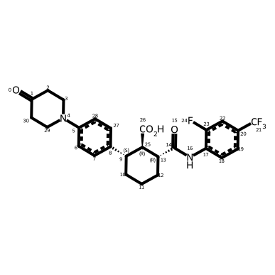 O=C1CCN(c2ccc([C@H]3CCC[C@@H](C(=O)Nc4ccc(C(F)(F)F)cc4F)[C@@H]3C(=O)O)cc2)CC1